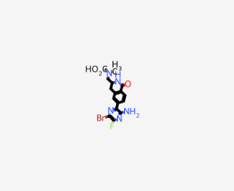 CN(CC1Cc2cc(-c3nc(Br)c(F)nc3N)ccc2C(=O)N1)C(=O)O